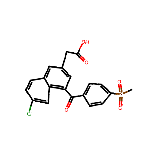 CS(=O)(=O)c1ccc(C(=O)c2cc(CC(=O)O)cc3ccc(Cl)cc23)cc1